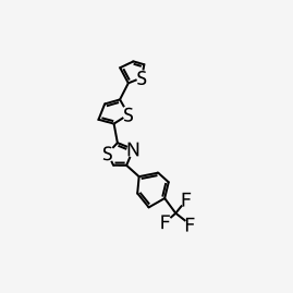 FC(F)(F)c1ccc(-c2csc(-c3ccc(-c4cccs4)s3)n2)cc1